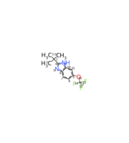 CC(C)(C)c1nc2ccc(OC(F)(F)F)cc2[nH]1